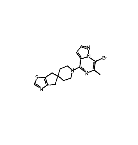 Cc1nc(N2CCC3(CC2)Cc2ncsc2C3)c2ccnn2c1Br